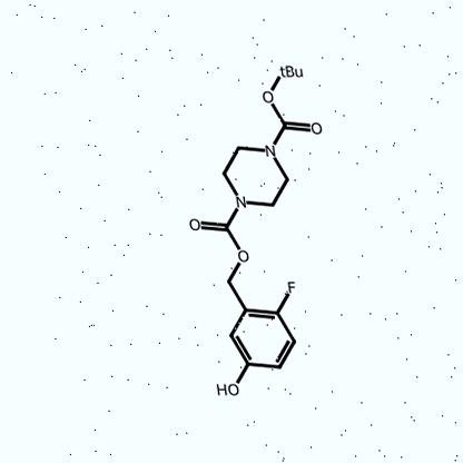 CC(C)(C)OC(=O)N1CCN(C(=O)OCc2cc(O)ccc2F)CC1